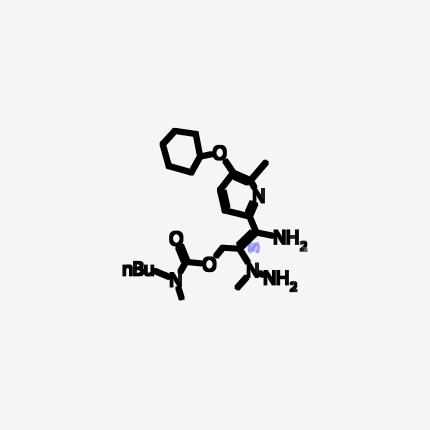 CCCCN(C)C(=O)OC/C(=C(/N)c1ccc(OC2CCCCC2)c(C)n1)N(C)N